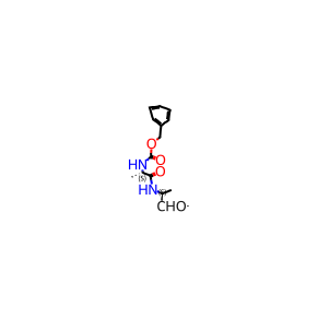 C[C@H](NC(=O)OCc1ccccc1)C(=O)N[C@@H](C)[C]=O